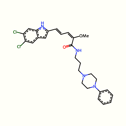 COC(=CC=Cc1cc2cc(Cl)c(Cl)cc2[nH]1)C(=O)NCCCN1CCN(c2ccccc2)CC1